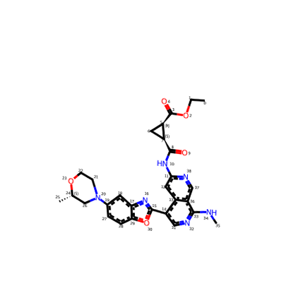 CCOC(=O)[C@@H]1C[C@@H]1C(=O)Nc1cc2c(-c3nc4cc(N5CCO[C@@H](C)C5)ccc4o3)cnc(NC)c2cn1